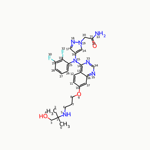 CC(C)(CO)NCCCOc1ccc2c(N(c3cnn(CC(N)=O)c3)c3cccc(F)c3F)ncnc2c1